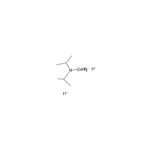 CC(C)[N]([GeH3])C(C)C.[H-].[H-].[H-]